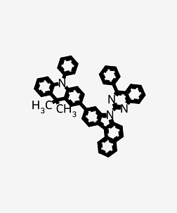 CC1(C)c2ccccc2N(c2ccccc2)c2ccc(-c3ccc4c5c6ccccc6ccc5n(-c5nc(-c6ccccc6)c6ccccc6n5)c4c3)cc21